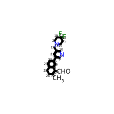 CC1=C(C=O)c2cc(-c3cncc(CN4CCC(F)(F)CC4)c3)ccc2CC1